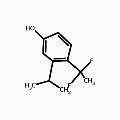 CC(C)c1cc(O)ccc1C(C)(F)F